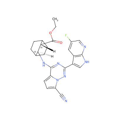 CCOC(=O)[C@H]1C2CCC(CC2)[C@@H]1Nc1nc(-c2c[nH]c3ncc(F)cc23)nn2c(C#N)ccc12